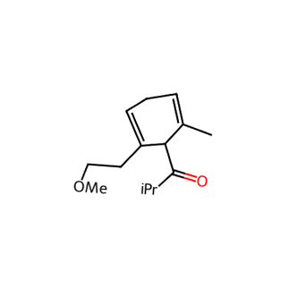 COCCC1=CCC=C(C)C1C(=O)C(C)C